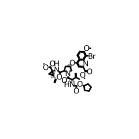 C=C[C@@H]1C[C@]1(NC(=O)C1C[C@@H](Oc2cc(C(=O)OC)nc3c(Br)c(OC)ccc23)CN1C(=O)[C@@H](NC(=O)OC1CCCC1)C(=C)C)C(=O)OC